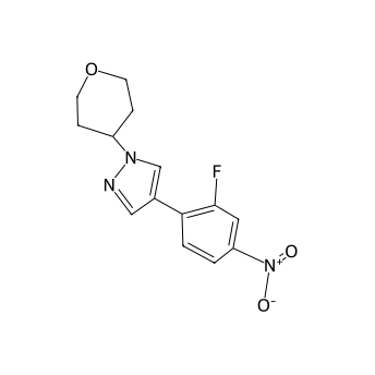 O=[N+]([O-])c1ccc(-c2cnn(C3CCOCC3)c2)c(F)c1